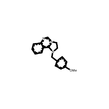 COc1ccc(CN2CC[n+]3cnc4ccccc4c32)cc1